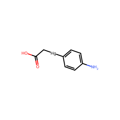 Nc1cc[c]([Hg][CH2]C(=O)O)cc1